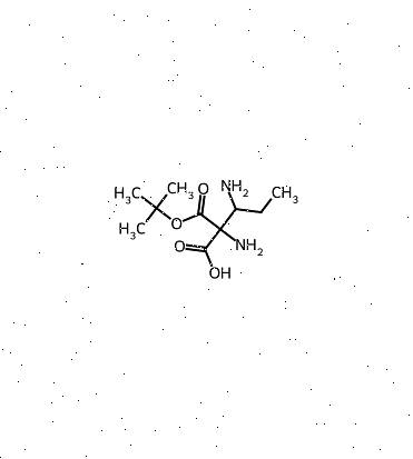 CCC(N)C(N)(C(=O)O)C(=O)OC(C)(C)C